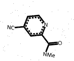 CNC(=O)c1cc(C#N)ccn1